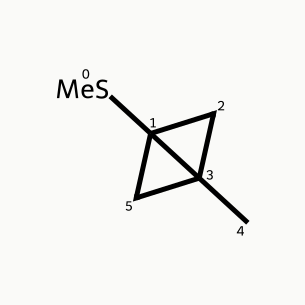 CSC12CC1(C)C2